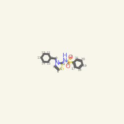 O=S(=O)(NC1SC=[C]N1CC1CCCCC1)c1ccccc1